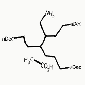 CC(=O)O.CCCCCCCCCCCCCC(CCCCCCCCCCCC)C(CN)CCCCCCCCCCCC